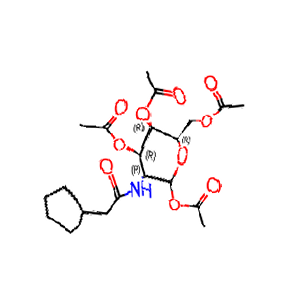 CC(=O)OC[C@H]1OC(OC(C)=O)[C@H](NC(=O)CC2CCCC2)[C@@H](OC(C)=O)[C@H]1OC(C)=O